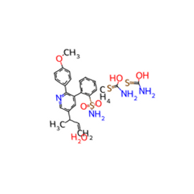 C.C=CC(C)c1cnc(-c2ccc(OC)cc2)c(-c2ccccc2S(N)(=O)=O)c1.NC(O)=S.NC(O)=S.O